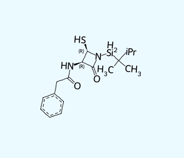 CC(C)C(C)(C)[SiH2]N1C(=O)[C@@H](NC(=O)Cc2ccccc2)[C@H]1S